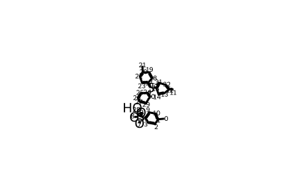 Cc1ccc(S(=O)(=O)[O-])cc1.Cc1ccc([S+](c2ccc(C)cc2)c2ccc(O)cc2)cc1